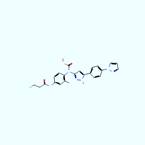 Cc1cc(NC(=O)CCCl)ccc1N(C(=O)OC(C)(C)C)c1cc(-c2ccc(-n3cccn3)cc2)n(C(=O)O)n1